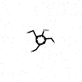 CNc1c(CF)cc(CF)cc1CF